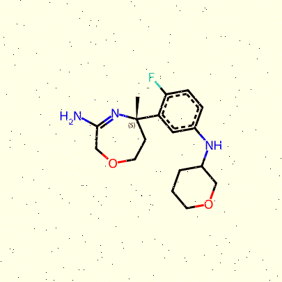 C[C@@]1(c2cc(NC3CCCOC3)ccc2F)CCOCC(N)=N1